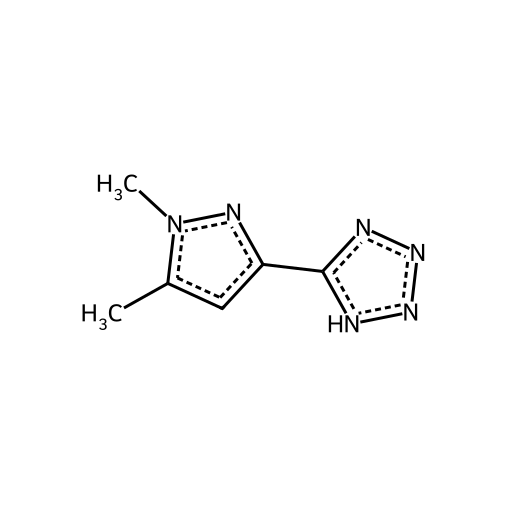 Cc1cc(-c2nnn[nH]2)nn1C